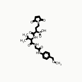 COCc1ccc(NC(=O)CNC(=O)C(NC(=O)C(CCN2C(=O)C=CC2=O)S(=O)O)C(C)C)cc1